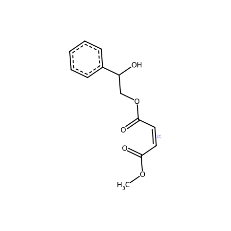 COC(=O)/C=C\C(=O)OCC(O)c1ccccc1